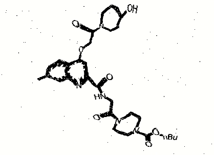 CCCCOC(=O)N1CCN(C(=O)CNC(=O)c2cc(OCC(=O)N3CCC(O)CC3)c3ccc(C)cc3n2)CC1